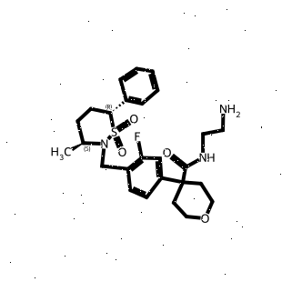 C[C@H]1CC[C@H](c2ccccc2)S(=O)(=O)N1Cc1ccc(C2(C(=O)NCCN)CCOCC2)cc1F